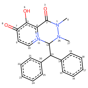 CN1C(=O)c2c(O)c(=O)ccn2C(C(c2ccccc2)c2ccccc2)N1C